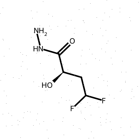 NNC(=O)[C@H](O)CC(F)F